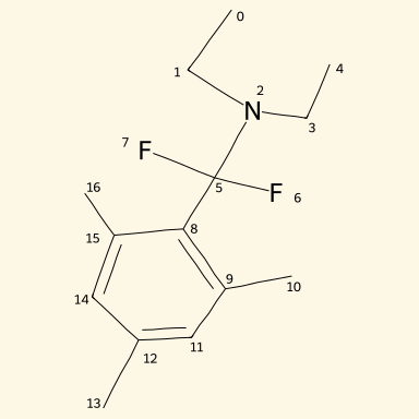 CCN(CC)C(F)(F)c1c(C)cc(C)cc1C